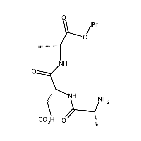 CC(C)OC(=O)[C@@H](C)NC(=O)[C@@H](CC(=O)O)NC(=O)[C@@H](C)N